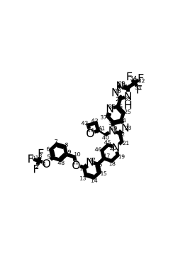 FC(F)(F)Oc1cccc(COc2cccc(C3CCN(Cc4nc5cc(-c6nnc(C(F)(F)F)[nH]6)ncc5n4C[C@@H]4CCO4)CC3)n2)c1